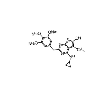 COc1cc(Cc2nc(NC3CC3)c3c(C)c(C#N)sc3n2)cc(OC)c1OC